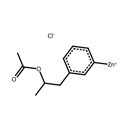 CC(=O)OC(C)Cc1ccc[c]([Zn+])c1.[Cl-]